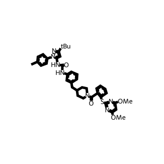 COc1cc(OC)nc(Sc2ccccc2C(=O)N2CCC(Cc3cccc(NC(=O)Nc4cc(C(C)(C)C)nn4-c4ccc(C)cc4)c3)CC2)n1